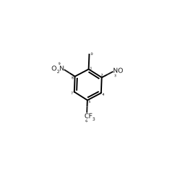 Cc1c(N=O)cc(C(F)(F)F)cc1[N+](=O)[O-]